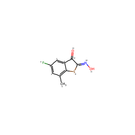 Cc1cc(F)cc2c1SC(=NO)C2=O